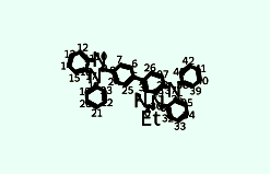 CCc1nc2c(-c3ccc(-c4nc5ccccc5n4-c4ccccc4)cc3)ccc3c2n1-c1ccccc1N3c1ccccc1